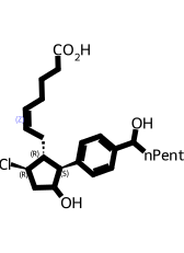 CCCCCC(O)c1ccc([C@H]2C(O)C[C@@H](Cl)[C@@H]2C/C=C\CCCC(=O)O)cc1